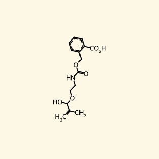 C=C(C)C(O)OCCNC(=O)OCc1ccccc1C(=O)O